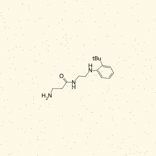 CC(C)(C)c1ccccc1NCCNC(=O)CCN